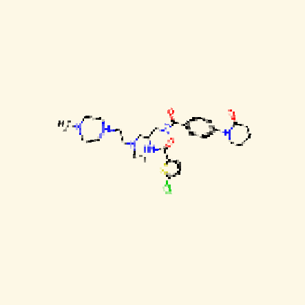 CN1CCN(CCN(C)CC(CNC(=O)c2ccc(N3CCCCC3=O)cc2)NC(=O)c2ccc(Cl)s2)CC1